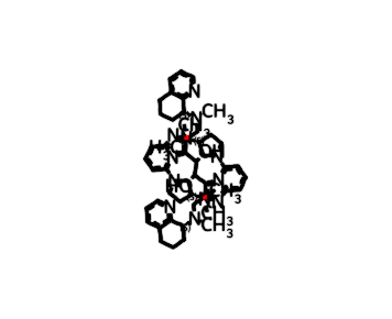 CN(C)[C@H]1CCN(c2cccc3nc(CN(C)[C@H]4CCCc5cccnc54)c(C(O)C(O)c4c(CN(C)[C@H]5CCCc6cccnc65)nc5cccc(N6CC[C@H](N(C)C)C6)n45)n23)C1